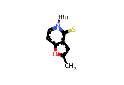 Cc1cc2c(=S)n(C(C)(C)C)ccc2o1